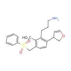 NCCCc1c(C2C=COC2)ccc(CS(=O)(=O)c2ccccc2)c1C(=O)O